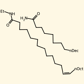 CCCCCCCC/C=C\CCCCCCCCCCCC(=O)NCC.CCCCCCCCCCCCCCCCCC(N)=O